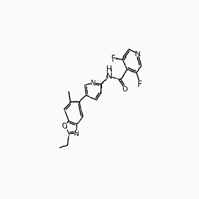 CCc1nc2cc(-c3ccc(NC(=O)c4c(F)cncc4F)nc3)c(C)cc2o1